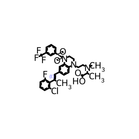 C/C(=C\c1ccc2c(c1)N(S(=O)(=O)c1cccc(C(F)(F)F)c1)CCN2CCN(C)C(C)C(=O)O)c1c(F)cccc1Cl